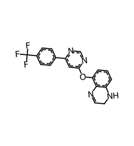 FC(F)(F)c1ccc(-c2cc(Oc3cccc4c3N=CCN4)ncn2)cc1